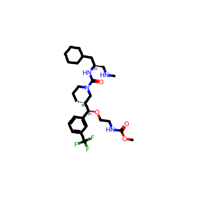 CNC[C@H](CC1CCCCC1)NC(=O)N1CCC[C@@H]([C@@H](OCCNC(=O)OC)c2cccc(C(F)(F)F)c2)C1